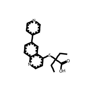 CCC(CC)(Sc1ccnc2ccc(-c3ccncc3)cc12)C(=O)O